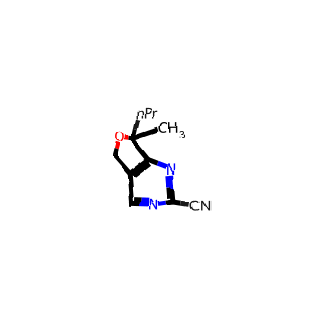 CCCC1(C)OCc2cnc(C#N)nc21